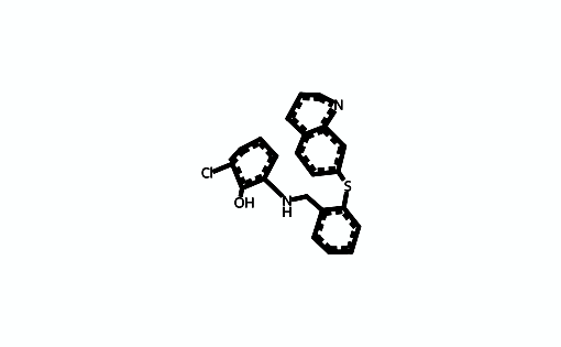 Oc1c(Cl)cccc1NCc1ccccc1Sc1ccc2cccnc2c1